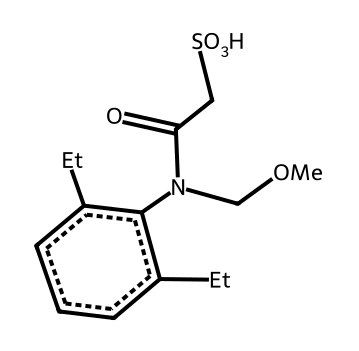 CCc1cccc(CC)c1N(COC)C(=O)CS(=O)(=O)O